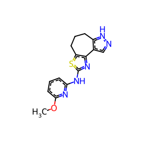 COc1cccc(Nc2nc3c(s2)CCCc2[nH]ncc2-3)n1